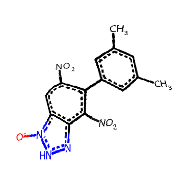 Cc1cc(C)cc(-c2c([N+](=O)[O-])cc3c(n[nH][n+]3[O-])c2[N+](=O)[O-])c1